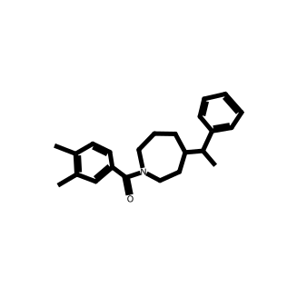 Cc1ccc(C(=O)N2CCCC(C(C)c3ccccc3)CC2)cc1C